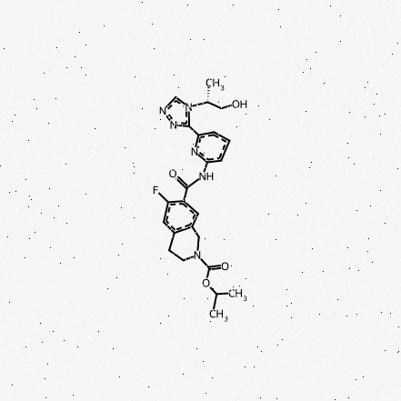 CC(C)OC(=O)N1CCc2cc(F)c(C(=O)Nc3cccc(-c4nncn4[C@H](C)CO)n3)cc2C1